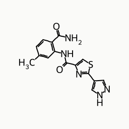 Cc1ccc(C(N)=O)c(NC(=O)c2csc(-c3cn[nH]c3)n2)c1